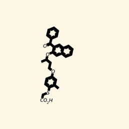 Cc1cc(OCCC(C)Oc2cc3ccccc3cc2C(=O)c2ccccc2)ccc1SCC(=O)O